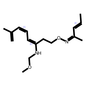 C=C(C)/C=C\C=C(/CCON=C(C)/C=C/C)NCOC